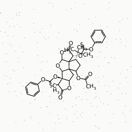 CC(=O)OC1C[C@@H](C(C)(C)C)C23C(OC(=O)[C@@H]2OC(=S)Oc2ccccc2)OC2C13CC1OC(=O)[C@@H](C)[C@@]12OC(=S)Oc1ccccc1